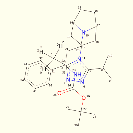 [2H]C([2H])([2H])c1nnc(C(C)C)n1C1CC2CCC(C1)N2CC[C@H](NC(=O)OC(C)(C)C)c1ccccc1